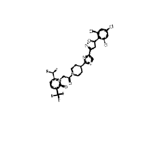 O=C(Cn1c(C(F)F)ccc(C(F)(F)F)c1=O)N1CCC(c2nc(C3=NOC(c4c(Cl)cc(Cl)cc4Cl)C3)cs2)CC1